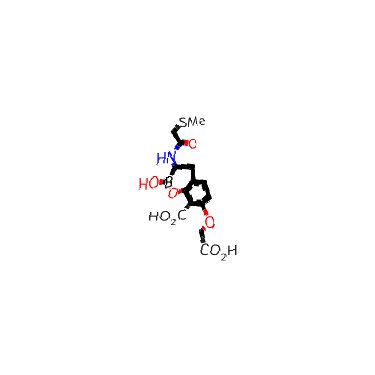 CSCC(=O)NC1Cc2ccc(OCC(=O)O)c(C(=O)O)c2OB1O